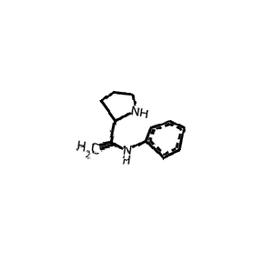 C=C(Nc1ccccc1)C1CCCN1